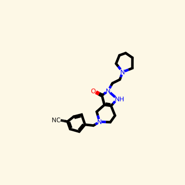 N#Cc1ccc(CN2CCc3[nH]n(CCN4CCCCC4)c(=O)c3C2)cc1